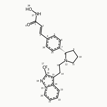 O=C(/C=C/c1ccc([C@@H]2CCCN2CCc2c(C(F)(F)F)nn3ccccc23)cc1)NO